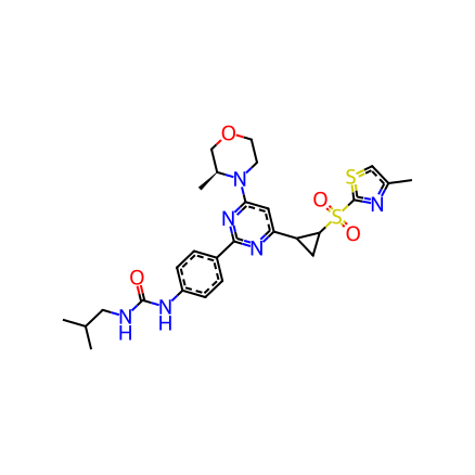 Cc1csc(S(=O)(=O)C2CC2c2cc(N3CCOC[C@@H]3C)nc(-c3ccc(NC(=O)NCC(C)C)cc3)n2)n1